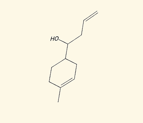 C=CCC(O)C1CC=C(C)CC1